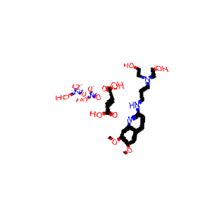 COc1cc2ccc(NCCCN(CCO)CCO)nc2cc1OC.O=C(O)/C=C/C(=O)O.O=[N+]([O-])O.O=[N+]([O-])O